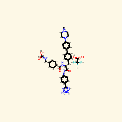 CN1CCN(c2ccc(-c3ccc(C[C@H](NC(=O)[C@H]4CC[C@H](CNC(=O)O)CC4)C(=O)Nc4ccc(-c5nn[nH]n5)cc4)cc3)cc2)CC1.O=C(O)C(F)(F)F